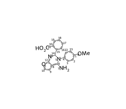 COc1ccc(N2C(N)=c3ccoc3=NC2c2ccccc2C(=O)O)cc1